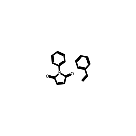 C=Cc1ccccc1.O=C1C=CC(=O)N1c1ccccc1